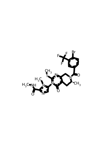 CNC(=O)c1ncc(-n2c(SC)nc3c(c2=O)C[C@@H](C)N(C(=O)c2ccc(Br)c(C(F)(F)F)c2)C3)n1C